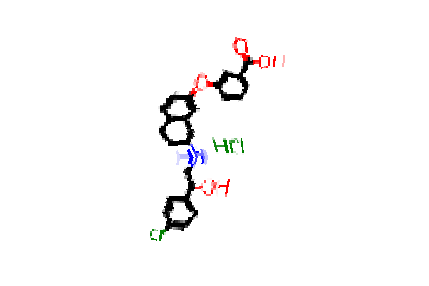 Cl.O=C(O)c1cccc(Oc2ccc3c(c2)C[C@@H](NC[C@H](O)c2ccc(Cl)cc2)CC3)c1